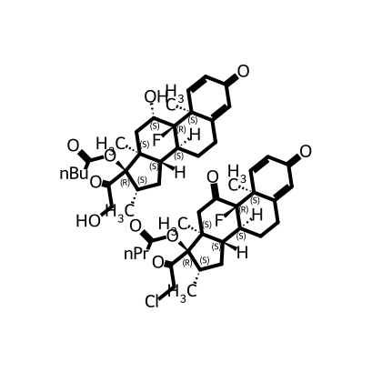 CCCC(=O)O[C@]1(C(=O)CCl)[C@@H](C)C[C@H]2[C@@H]3CCC4=CC(=O)C=C[C@]4(C)[C@@]3(F)C(=O)C[C@@]21C.CCCCC(=O)O[C@]1(C(=O)CO)[C@@H](C)C[C@H]2[C@@H]3CCC4=CC(=O)C=C[C@]4(C)[C@@]3(F)[C@@H](O)C[C@@]21C